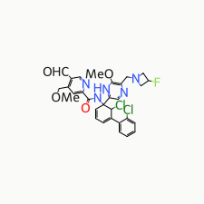 COCc1cc(C(=O)NC2(c3cnc(CN4CC(F)C4)c(OC)n3)C=CC=C(c3ccccc3Cl)C2Cl)ncc1C=O